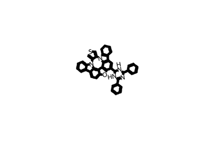 C1=Cc2c(n3c4cscc4n4c5ccccc5c5ccc6oc7c(C8NC(c9ccccc9)=NC(c9ccccc9)N8)cc2c3c7c6c54)CC1